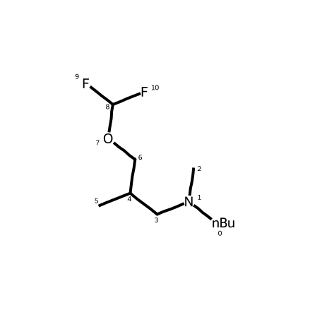 CCCCN(C)CC(C)COC(F)F